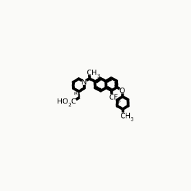 CC1CCC(Oc2ccc3cc(C(C)N4CCC[C@H](CC(=O)O)C4)ccc3c2C(F)(F)F)CC1